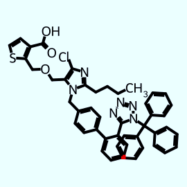 CCCCc1nc(Cl)c(COCc2sccc2C(=O)O)n1Cc1ccc(-c2ccccc2-c2nnnn2C(c2ccccc2)(c2ccccc2)c2ccccc2)cc1